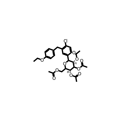 CCOc1ccc(Cc2cc(C3OC(COC(C)=O)[C@@H](OC(C)=O)C(OC(C)=O)[C@H]3OC(C)=O)ccc2Cl)cc1